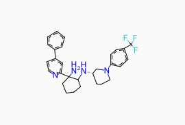 NC1(c2cc(-c3ccccc3)ccn2)CCCCC1N[C@H]1CCCN(c2ccc(C(F)(F)F)cc2)C1